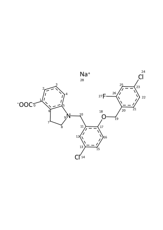 O=C([O-])c1cccc2c1CCN2Cc1cc(Cl)ccc1OCc1ccc(Cl)cc1F.[Na+]